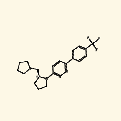 FC(F)(F)c1ccc(-c2ccc(N3CCC[C@H]3CN3CCCC3)nn2)cc1